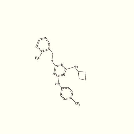 FC(F)(F)c1ccc(Nc2nc(NC3CCC3)nc(OCc3ccccc3C(F)(F)F)n2)cc1